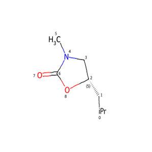 CC(C)C[C@H]1CN(C)C(=O)O1